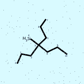 CCCC([SiH3])(CCC)CCC